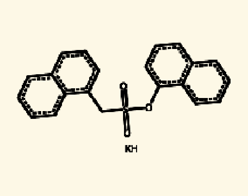 O=S(=O)(Cc1cccc2ccccc12)Oc1cccc2ccccc12.[KH]